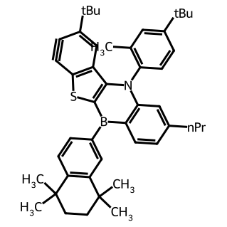 CCCc1ccc2c(c1)N(c1ccc(C(C)(C)C)cc1C)c1c(sc3c#cc(C(C)(C)C)cc13)B2c1ccc2c(c1)C(C)(C)CCC2(C)C